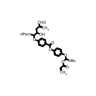 C=CC(=O)OC(CCCC)Oc1ccc(OC(=O)c2ccc(OC(CCCCC)C(O)CC(=C)C=O)cc2)cc1